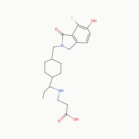 CCC(NCCC(=O)O)C1CCC(CN2Cc3ccc(O)c(F)c3C2=O)CC1